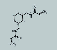 C=CC(=O)NCC1CCCC(CNC(=O)C=C)C1